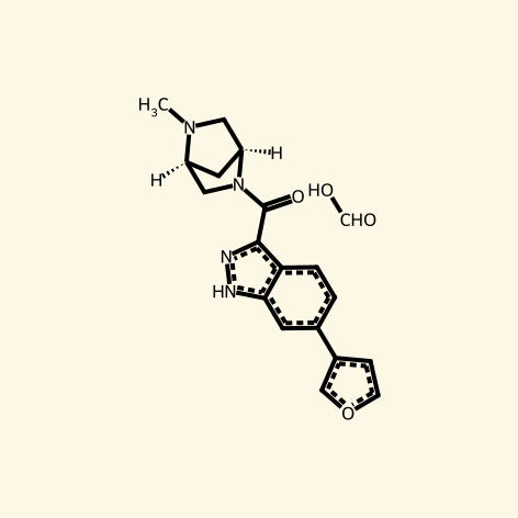 CN1C[C@@H]2C[C@H]1CN2C(=O)c1n[nH]c2cc(-c3ccoc3)ccc12.O=CO